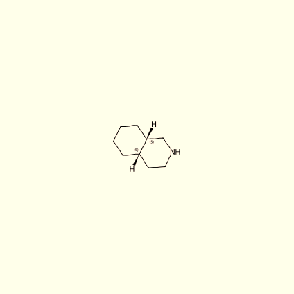 C1CC[C@@H]2CNCC[C@@H]2C1